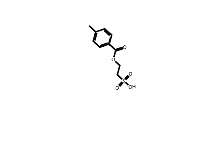 Cc1ccc(C(=O)OCCS(=O)(=O)O)cc1